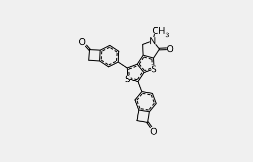 CN1Cc2c(sc3c(-c4ccc5c(c4)CC5=O)sc(-c4ccc5c(c4)CC5=O)c23)C1=O